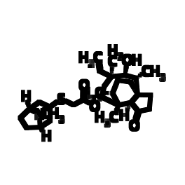 C=C[C@]1(C)C[C@@H](OC(=O)CSC2C[C@H]3CC[C@@H](C2)N3C)[C@]2(C)[C@H](C)CC[C@]3(CCC(=O)[C@H]32)[C@@H](C)[C@@H]1O